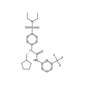 CCN(CC)S(=O)(=O)c1ccc([C@@H](CC2CCCC2)C(=O)Nc2cccc(C(F)(F)F)n2)cc1